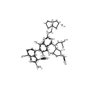 N#Cc1c(N)sc2c(F)ccc(-c3c(Cl)c4c5c(nc(OC[C@@]67CCCN6C[C@H](F)C7)nc5c3F)N(CC(F)F)C3CN(C=O)CC3O4)c12